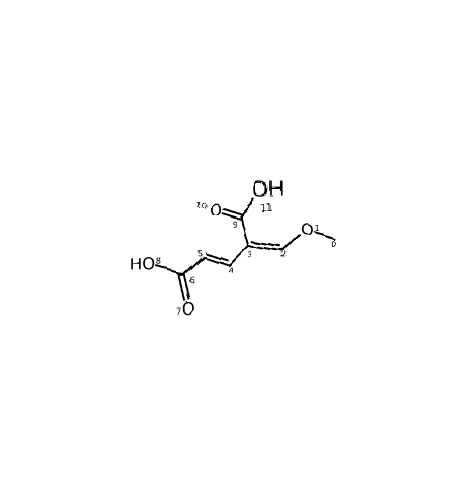 CO/C=C(/C=C/C(=O)O)C(=O)O